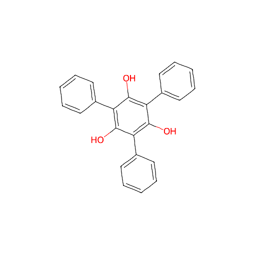 Oc1c(-c2ccccc2)c(O)c(-c2ccccc2)c(O)c1-c1ccccc1